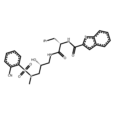 CC(C)C[C@H](NC(=O)c1cc2ccccc2s1)C(=O)NC[C@@H](O)CN(C)S(=O)(=O)c1ccccc1C#N